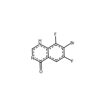 O=c1nc[nH]c2c(F)c(Br)c(F)cc12